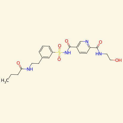 CCCC(=O)NCCc1cccc(S(=O)(=O)NC(=O)c2ccc(C(=O)NCCO)nc2)c1